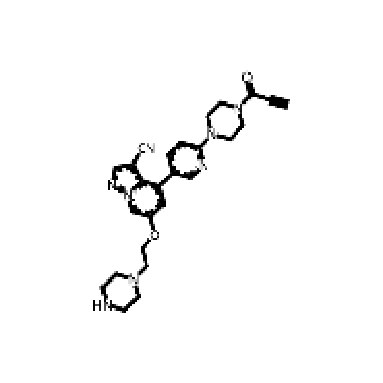 C#CC(=O)N1CCN(c2ccc(-c3cc(OCCN4CCNCC4)cn4ncc(C#N)c34)cn2)CC1